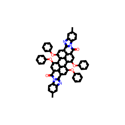 Cc1ccc2c(c1)nc1c3cc(Oc4ccccc4)c4c5c(Oc6ccccc6)cc6c(=O)n7c8ccc(C)cc8nc7c7cc(Oc8ccccc8)c(c8c(Oc9ccccc9)cc(c(=O)n21)c3c84)c5c67